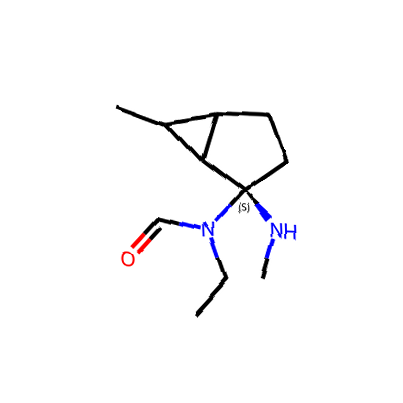 CCN(C=O)[C@@]1(NC)CCC2C(C)C21